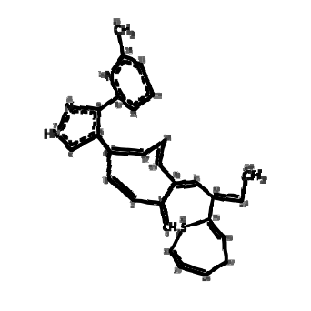 C=C1\C=C/C(c2c[nH]nc2-c2cccc(C)n2)=C/C=C/C1=C/C(=C\C)C1=CCC=C=CS1